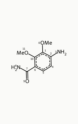 COc1c(N)ccc(C(N)=O)c1OC